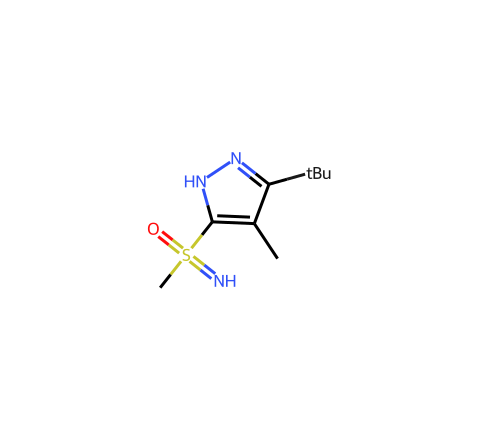 Cc1c(C(C)(C)C)n[nH]c1S(C)(=N)=O